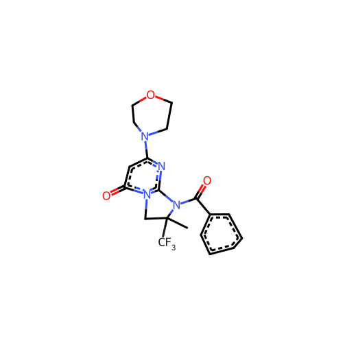 CC1(C(F)(F)F)Cn2c(nc(N3CCOCC3)cc2=O)N1C(=O)c1ccccc1